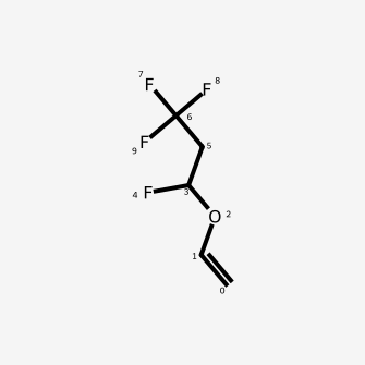 C=COC(F)CC(F)(F)F